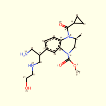 CC(C)OC(=O)N1C[C@H](C)N(C(=O)C2CC2)c2ccc(C(CN)CNCCO)cc21